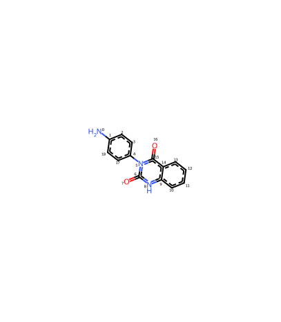 Nc1ccc(-n2c(=O)[nH]c3ccccc3c2=O)cc1